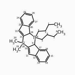 CCC[CH2][Ti]1([CH2]CCC)[CH]2C(=Cc3ccccc32)[Si](C)(C)C2=Cc3ccccc3[CH]21